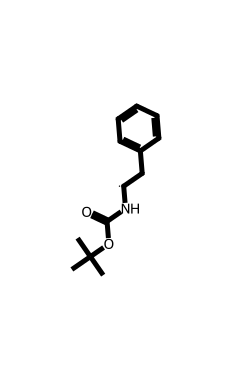 CC(C)(C)OC(=O)N[CH]Cc1ccccc1